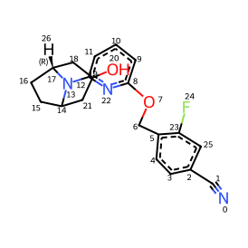 N#Cc1ccc(COc2cccc(N3C4CC[C@@H]3CC(O)C4)n2)c(F)c1